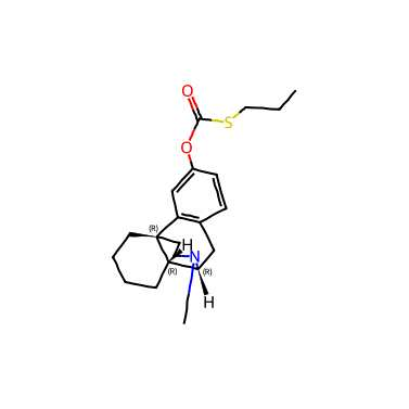 CCCSC(=O)Oc1ccc2c(c1)[C@@]13CCCC[C@H]1[C@@H](C2)N(C)CC3